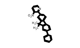 CC1(C)c2cc(-c3ccccc3)ccc2-c2ccc(-c3ncccc3[N+](=O)[O-])cc21